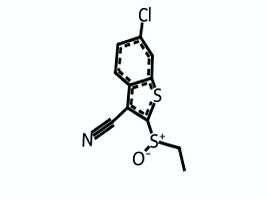 CC[S+]([O-])c1sc2cc(Cl)ccc2c1C#N